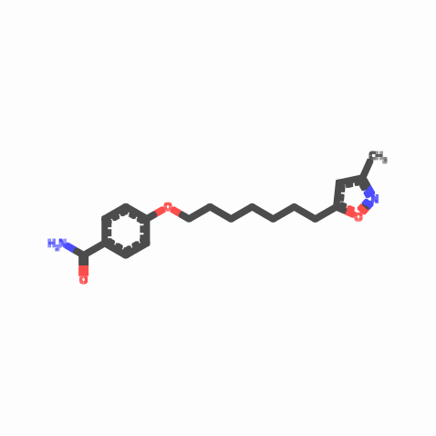 Cc1cc(CCCCCCCOc2ccc(C(N)=O)cc2)on1